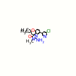 CCC1(CC)CC2(N=C(N)N(C)C2=O)c2cc(-c3cncc(Cl)c3)ccc2O1